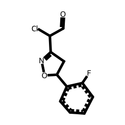 O=CC(Cl)C1=NOC(c2ccccc2F)C1